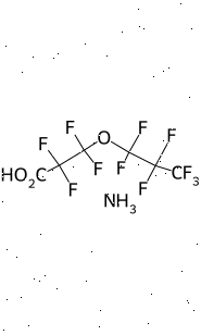 N.O=C(O)C(F)(F)C(F)(F)OC(F)(F)C(F)(F)C(F)(F)F